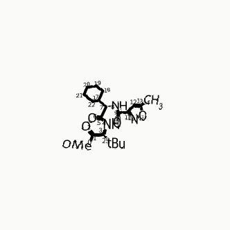 COC(=O)[C@@H](NC(=O)[C@@H](NC(=O)c1cc(C)on1)C1CCCCC1)C(C)(C)C